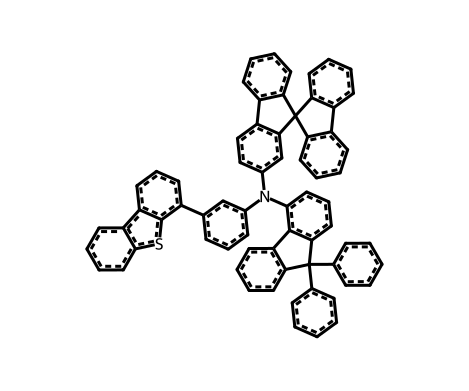 c1ccc(C2(c3ccccc3)c3ccccc3-c3c(N(c4cccc(-c5cccc6c5sc5ccccc56)c4)c4ccc5c(c4)C4(c6ccccc6-c6ccccc64)c4ccccc4-5)cccc32)cc1